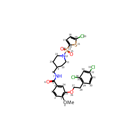 COc1ccc(C(=O)NCC2CCN(S(=O)(=O)c3ccc(Cl)s3)CC2)cc1OCCc1ccc(Cl)cc1Cl